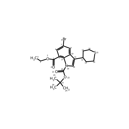 CCOC(=O)c1cc(Br)cc2c(C3CCSCC3)cn(C(=O)OC(C)(C)C)c12